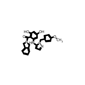 COc1ccc(Cn2nccc2Nc2cc(O)cc(O)c2C(=O)N2Cc3ccccc3C2)cc1